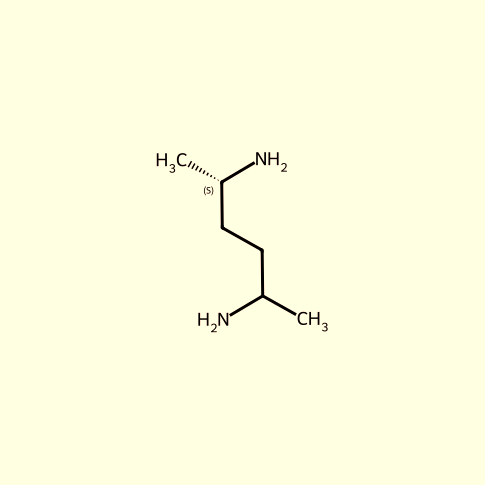 CC(N)CC[C@H](C)N